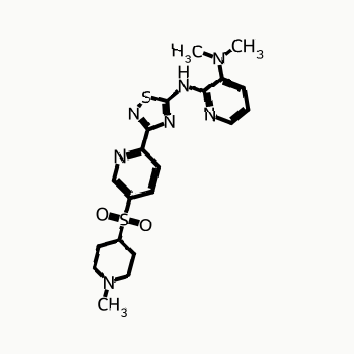 CN1CCC(S(=O)(=O)c2ccc(-c3nsc(Nc4ncccc4N(C)C)n3)nc2)CC1